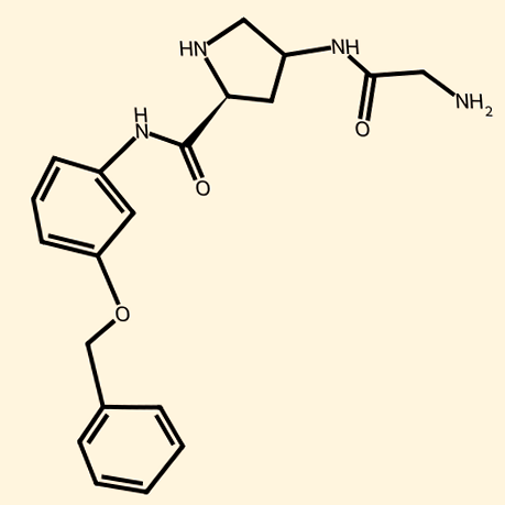 NCC(=O)NC1CN[C@H](C(=O)Nc2cccc(OCc3ccccc3)c2)C1